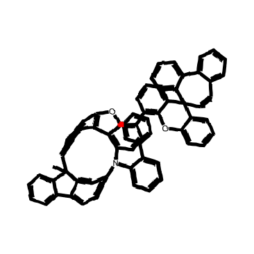 CC12c3ccc4c(c3)oc3c(-c5cccc6c5Oc5ccccc5C65c6ccccc6-c6ccccc6-c6ccccc65)ccc(c34)N(c3ccccc3-c3ccccc3)c3ccc(c1c3)-c1ccccc12